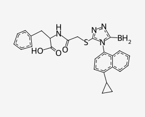 Bc1nnc(SCC(=O)NC(Cc2ccccc2)C(=O)O)n1-c1ccc(C2CC2)c2ccccc12